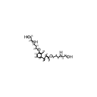 C=C(/C(C)=C(\C)OCCCNCCO)c1cccc(OCCCNCCO)c1C